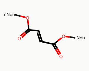 CCCCCCCCCOC(=O)C=CC(=O)OCCCCCCCCC